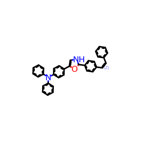 C1=C(c2ccc(N(c3ccccc3)c3ccccc3)cc2)OC(c2ccc(/C=C\c3ccccc3)cc2)N1